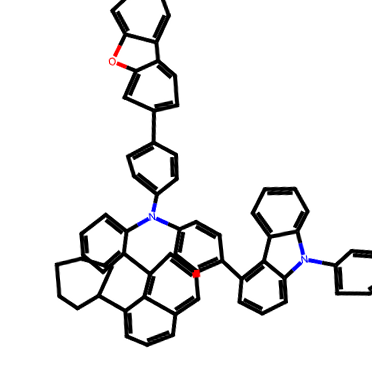 c1ccc(-n2c3ccccc3c3c(-c4ccc(N(c5ccc(-c6ccc7c(c6)oc6ccccc67)cc5)c5ccccc5-c5cccc6cccc(C7CCCCC7)c56)cc4)cccc32)cc1